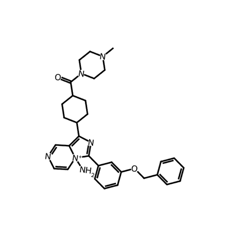 CN1CCN(C(=O)C2CCC(C3=C4C=NC=C[N+]4(N)C(c4cccc(OCc5ccccc5)c4)=N3)CC2)CC1